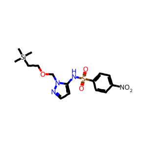 C[Si](C)(C)CCOCn1nccc1NS(=O)(=O)c1ccc([N+](=O)[O-])cc1